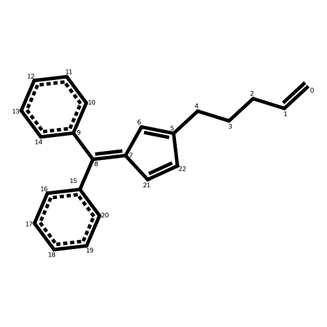 C=CCCCC1=CC(=C(c2ccccc2)c2ccccc2)C=C1